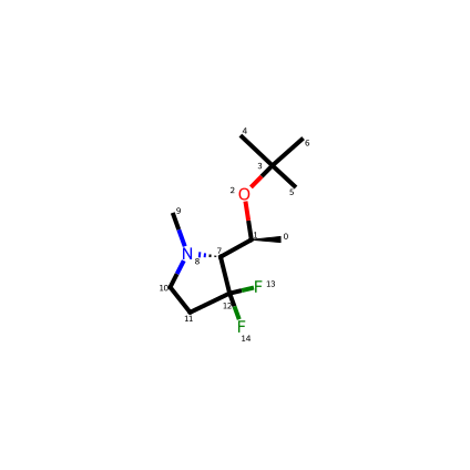 C[C@H](OC(C)(C)C)[C@H]1N(C)CCC1(F)F